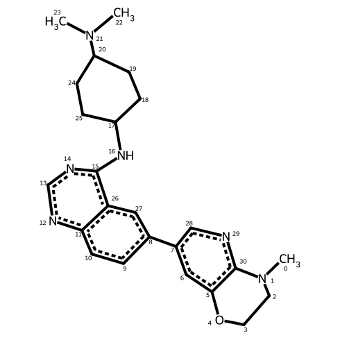 CN1CCOc2cc(-c3ccc4ncnc(NC5CCC(N(C)C)CC5)c4c3)cnc21